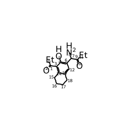 CCC(=O)c1c(O)c(C(N)C(=O)CC)cc2c1CCCC2